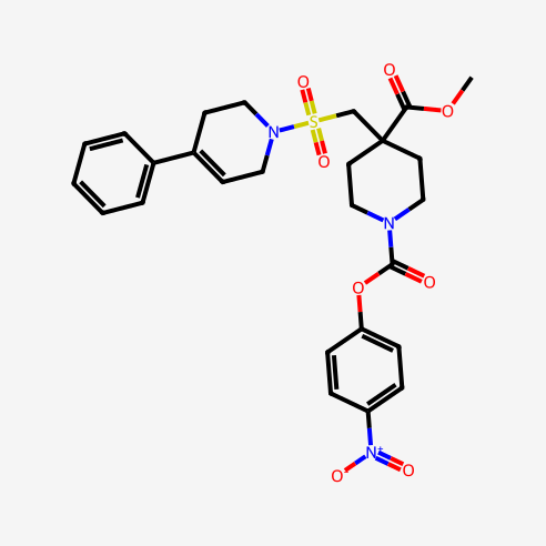 COC(=O)C1(CS(=O)(=O)N2CC=C(c3ccccc3)CC2)CCN(C(=O)Oc2ccc([N+](=O)[O-])cc2)CC1